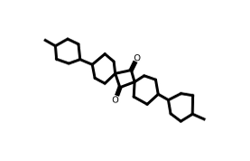 CC1CCC(C2CCC3(CC2)C(=O)C2(CCC(C4CCC(C)CC4)CC2)C3=O)CC1